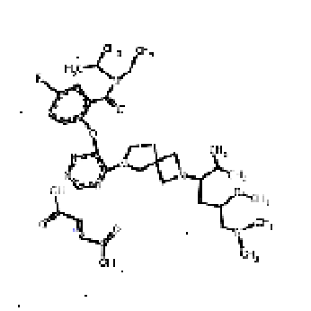 CCN(C(=O)c1cc(F)ccc1Oc1nncnc1N1CCC2(C1)CN(C(CC(CN(C)C)OC)C(C)C)C2)C(C)C.O=C(O)/C=C/C(=O)O